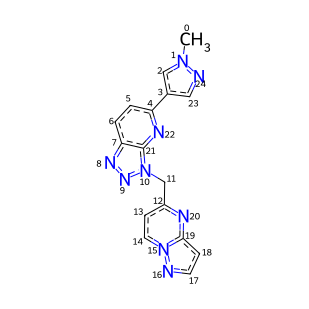 Cn1cc(-c2ccc3nnn(Cc4ccn5nccc5n4)c3n2)cn1